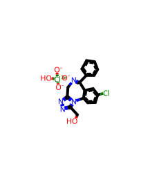 OCc1nnc2n1-c1ccc(Cl)cc1C(c1ccccc1)=NC2.[O-][Cl+3]([O-])([O-])O